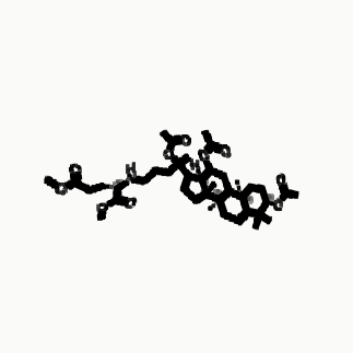 COC(=O)CC[C@H](NCCCC(C)(OC(C)=O)C1CC[C@]2(C)[C@@H]1C(OC(C)=O)CC1[C@@]3(C)CC[C@H](OC(C)=O)C(C)(C)C3CC[C@]12C)C(=O)OC